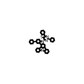 c1ccc(-c2ccc3c(c2)c2c4c5ccccc5n5c6ccccc6c(cc2n3-c2nc(-c3ccccc3)nc3c2sc2ccccc23)c45)cc1